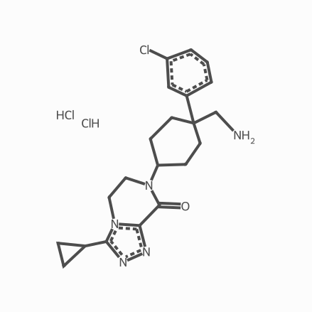 Cl.Cl.NCC1(c2cccc(Cl)c2)CCC(N2CCn3c(nnc3C3CC3)C2=O)CC1